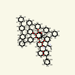 C=C(C)/C=C(\C(=C/C)c1cc(-c2ccccc2-c2ccc(-c3ccc(-c4ccccc4-c4cc(-c5cc(C)c(C)cc5-c5ccc(-c6ccccn6)cc5)cc(C5C#CC(C)=CC=C5c5ccc(-c6ccccn6)cc5)c4)cn3)nc2)cc(-c2cc(C)c(C)cc2-c2ccc(-c3ccccn3)cc2)c1)c1ccc(-c2ccccn2)cc1